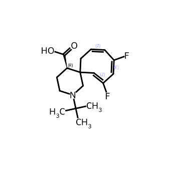 CC(C)(C)N1CC[C@@H](C(=O)O)C2(/C=C(F)/C=C(F)\C=C/C2)C1